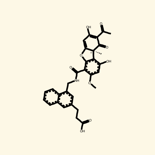 COc1cc(O)c2c(c1C(=O)NCc1cc(CCC(=O)O)cc3ccccc13)OC1=CC(O)=C(C(C)=O)C(=O)[C@]12C